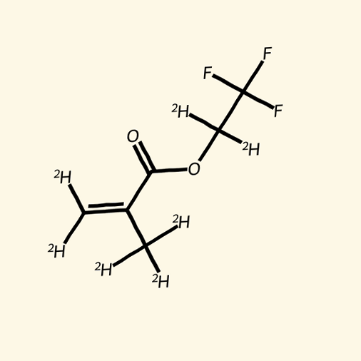 [2H]C([2H])=C(C(=O)OC([2H])([2H])C(F)(F)F)C([2H])([2H])[2H]